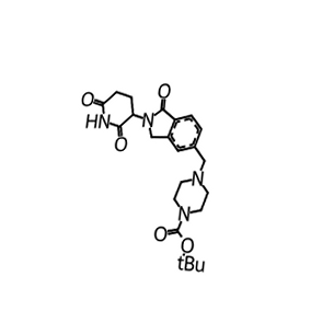 CC(C)(C)OC(=O)N1CCN(Cc2ccc3c(c2)CN(C2CCC(=O)NC2=O)C3=O)CC1